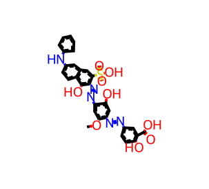 COc1cc(N=Nc2c(S(=O)(=O)O)cc3cc(Nc4ccccc4)ccc3c2O)c(O)cc1N=Nc1ccc(O)c(C(=O)O)c1